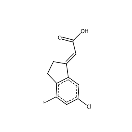 O=C(O)C=C1CCc2c(F)cc(Cl)cc21